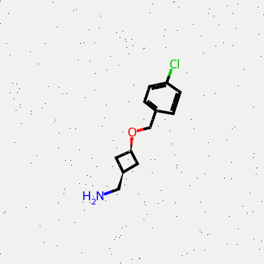 NC[C@H]1C[C@@H](OCc2ccc(Cl)cc2)C1